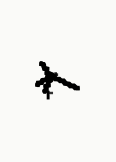 CCCCCCCCCCC[P+](CCCCCC)(CCCCCC)CCCCCC.[I-]